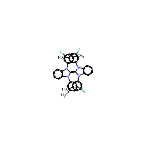 Cc1cc(F)cc(N2C(=C3N(c4cc(C)cc(F)c4)c4ccccc4N3c3cc(C)cc(F)c3)N(c3cc(C)cc(F)c3)c3ccccc32)c1